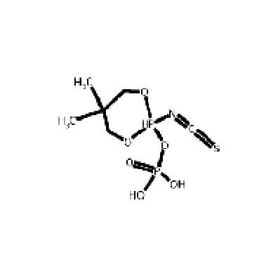 CC1(C)CO[PH](N=C=S)(OP(=O)(O)O)OC1